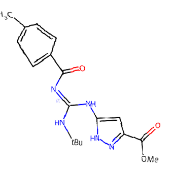 COC(=O)c1cc(N/C(=N\C(=O)c2ccc(C)cc2)NC(C)(C)C)[nH]n1